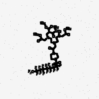 CCN(CCN(CCN(CC(=O)OC(C)(C)C)CC(C(=O)OC(C)(C)C)C(=O)OC(C)(C)C)CC(=O)N1CCN(S(=O)(=O)C(F)(F)C(F)(F)C(F)(F)C(F)(F)C(F)(F)C(F)(F)C(F)(F)C(F)(F)F)CC1)CC(=O)OC(C)(C)C